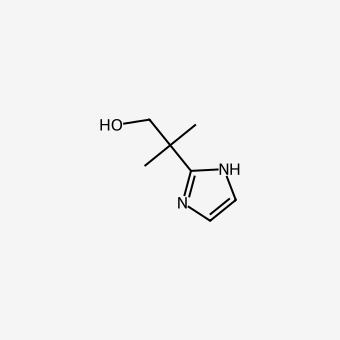 CC(C)(CO)c1ncc[nH]1